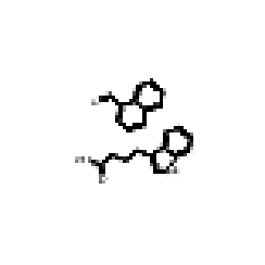 O=C(O)CCCc1c[nH]c2ccccc12.O=Cc1cccc2ccccc12